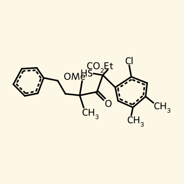 CCOC(=O)C(S)(C(=O)C(C)(CCc1ccccc1)OC)c1cc(C)c(C)cc1Cl